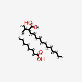 CCCCCCCC(=O)O.CCCCCCCCCCCCC(C(=O)O)C(C)C